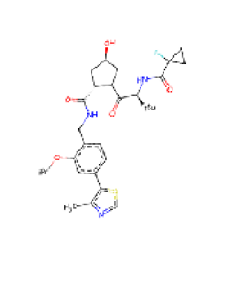 Cc1ncsc1-c1ccc(CNC(=O)[C@@H]2C[C@@H](O)CC2C(=O)[C@@H](NC(=O)C2(F)CC2)C(C)(C)C)c(OC(C)C)c1